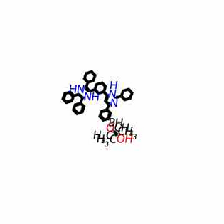 CC(C)(O)C(C)(C)OBc1cccc(C2=NC(C3CCCCC3)NC(C3CCCC(C4=C(C5CCCCC5)NC(c5ccccc5)C(c5ccccc5)N4)C3)=C2)c1